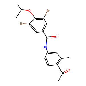 CC(=O)c1ccc(NC(=O)c2cc(Br)c(OC(C)C)c(Br)c2)cc1C